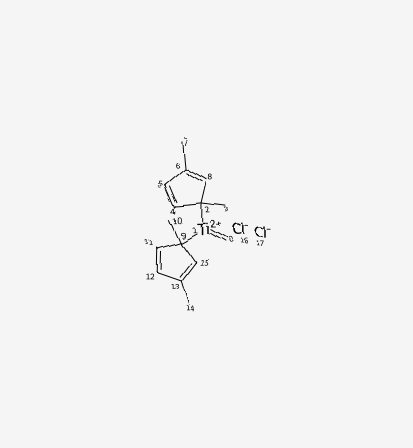 [CH2]=[Ti+2]([C]1(C)C=CC(C)=C1)[C]1(C)C=CC(C)=C1.[Cl-].[Cl-]